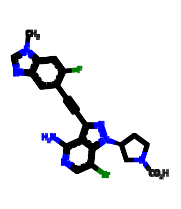 Cn1cnc2cc(C#Cc3nn([C@H]4CCN(C(=O)O)C4)c4c(Br)cnc(N)c34)c(F)cc21